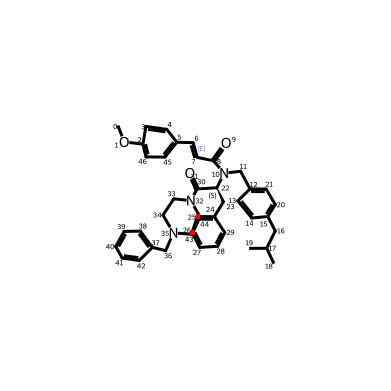 COc1ccc(/C=C/C(=O)N(Cc2ccc(CC(C)C)cc2)[C@@H](Cc2ccccc2)C(=O)N2CCN(Cc3ccccc3)CC2)cc1